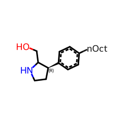 CCCCCCCCc1ccc([C@H]2CCNC2CO)cc1